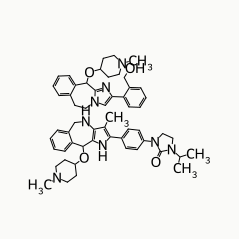 CN1CCC(OC2c3ccccc3CCn3cc(-c4ccccc4CO)nc32)CC1.Cc1c(-c2ccc(N3CCN(C(C)C)C3=O)cc2)[nH]c2c1NCc1ccccc1C2OC1CCN(C)CC1